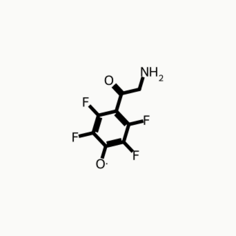 NCC(=O)c1c(F)c(F)c([O])c(F)c1F